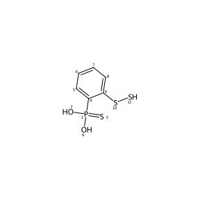 OP(O)(=S)c1ccccc1SS